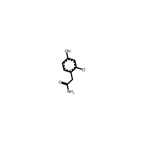 NC(=O)Cc1ccc(O)cc1Cl